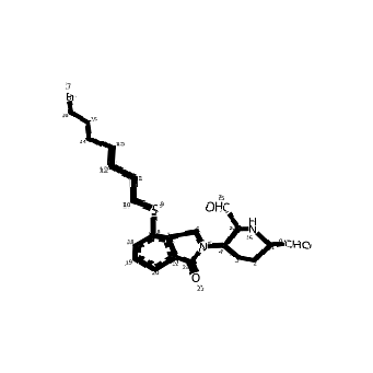 O=CC1CCC(N2Cc3c(SCCCCCCCBr)cccc3C2=O)C(C=O)N1